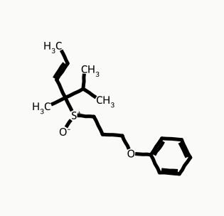 CC=CC(C)(C(C)C)[S+]([O-])CCCOc1ccccc1